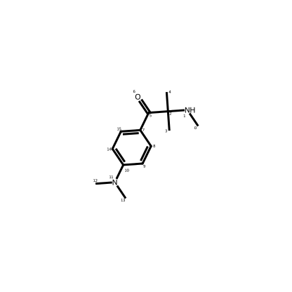 CNC(C)(C)C(=O)c1ccc(N(C)C)cc1